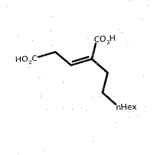 CCCCCCCCC(=CCC(=O)O)C(=O)O